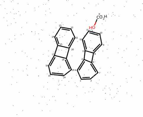 O=C(O)O.c1ccc2c(c1)-c1ccccc1-2.c1ccc2c(c1)-c1ccccc1-2